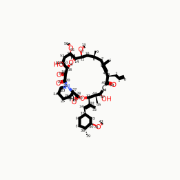 C=CC[C@@H]1/C=C(\C)C[C@H](C)C[C@H](OC)[C@H]2O[C@@](O)(C(=O)C(=O)N3CCCC[C@H]3C(=O)O[C@H](/C(C)=C/[C@@H]3CC[C@@H](C)[C@H](OC)C3)[C@H](C)[C@@H](O)CC1=O)[C@H](C)C[C@@H]2OC